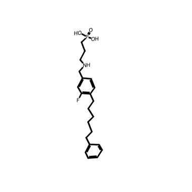 O=P(O)(O)CCCNCc1ccc(CCCCCCc2ccccc2)c(F)c1